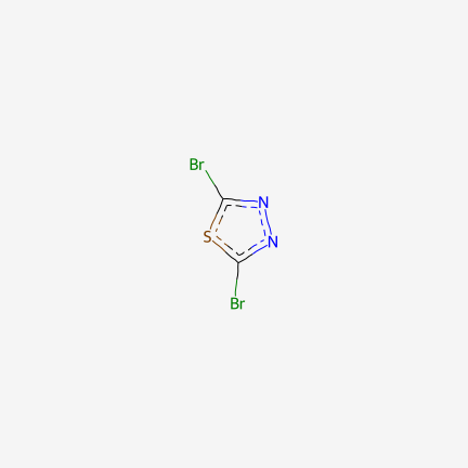 Brc1nnc(Br)s1